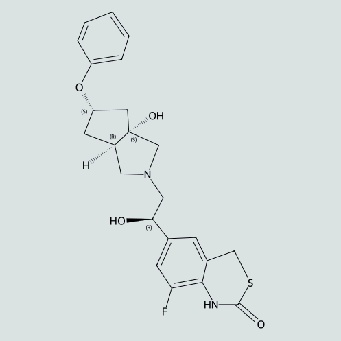 O=C1Nc2c(F)cc([C@@H](O)CN3C[C@H]4C[C@H](Oc5ccccc5)C[C@@]4(O)C3)cc2CS1